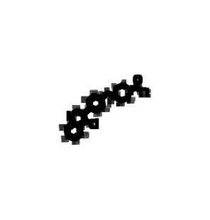 CCC(=O)N1CCC(F)(Cc2ccc(-c3cnc4ccccc4c3Cl)cc2)CC1